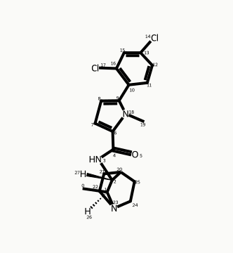 C[C@H]1[C@H](NC(=O)c2ccc(-c3ccc(Cl)cc3Cl)n2C)C2CCN1CC2